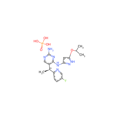 CC(C)Oc1cc(Nc2nc(N)ncc2[C@H](C)c2ccc(F)cn2)n[nH]1.O=P(O)(O)O